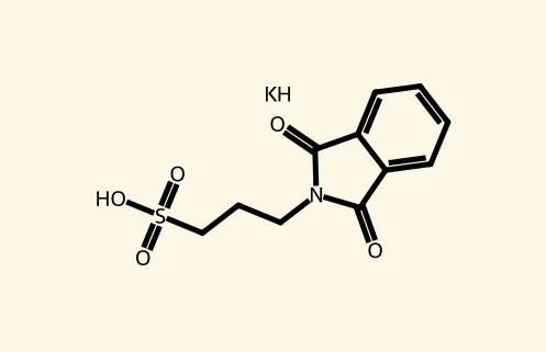 O=C1c2ccccc2C(=O)N1CCCS(=O)(=O)O.[KH]